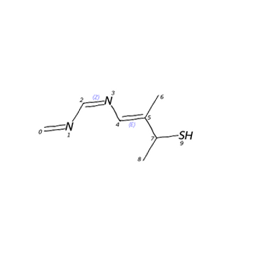 C=N/C=N\C=C(/C)C(C)S